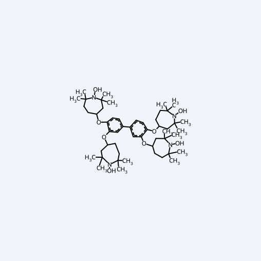 CC1(C)CCC(Oc2ccc(-c3ccc(OC4CCC(C)(C)N(O)C(C)(C)C4)c(OC4CCC(C)(C)N(O)C(C)(C)C4)c3)cc2OC2CCC(C)(C)N(O)C(C)(C)C2)CC(C)(C)N1O